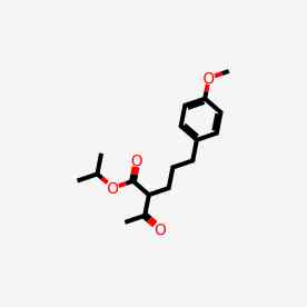 COc1ccc(CCCC(C(C)=O)C(=O)OC(C)C)cc1